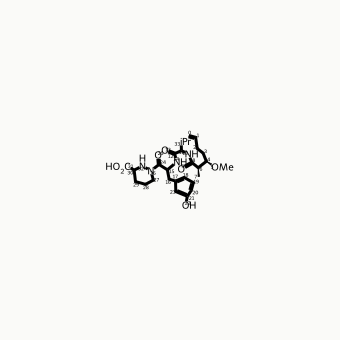 C=CCC[C@@H](OC)[C@@H](C)C(=O)NC(C(=O)NC(Cc1cccc(O)c1)C(=O)N1CCCC(C(=O)O)N1)C(C)C